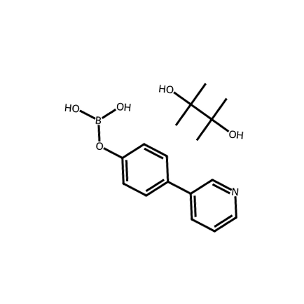 CC(C)(O)C(C)(C)O.OB(O)Oc1ccc(-c2cccnc2)cc1